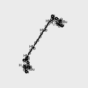 CC(C)(C)OC(=O)[C@H](Cc1ccc(-n2c(=O)n(CC(=O)NCCOCCOCCC(=O)NCCCOCCOCCCOCCOCCCNC(=O)CCOCCOCCNC(=O)Cn3c(=O)n(-c4ccc(C[C@H](NC(=O)[C@H]5N(S(=O)(=O)c6cccnc6)CSC5(C)C)C(=O)OC(C)(C)C)cc4)c4ncccc43)c3cccnc32)cc1)NC(=O)[C@H]1N(S(=O)(=O)c2cccnc2)CSC1(C)C